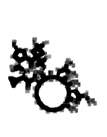 COC(=O)C[C@H]1C(=O)N(C)CCCCCCC[C@H](N(C)C(=O)[C@@H](NC(=O)[C@@H]2C[C@@H](F)CN2C(=O)C2(C(F)(F)F)CC(F)(F)C2)C2CC2)C(=O)N[C@@H](CC(C)C)C(=O)N1C